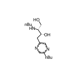 CCCCN[C@H](CO)[C@H](O)Cc1cnc(CCCC)cn1